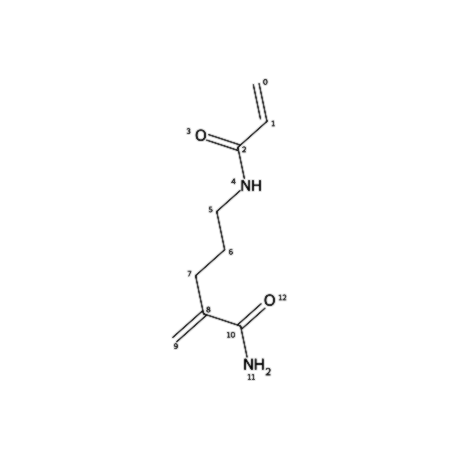 C=CC(=O)NCCCC(=C)C(N)=O